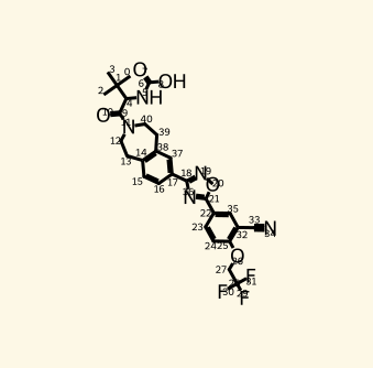 CC(C)(C)C(NC(=O)O)C(=O)N1CCc2ccc(-c3noc(-c4ccc(OCC(F)(F)F)c(C#N)c4)n3)cc2CC1